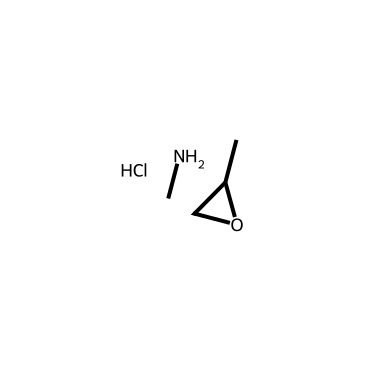 CC1CO1.CN.Cl